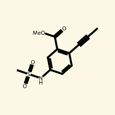 CC#Cc1ccc(NS(C)(=O)=O)cc1C(=O)OC